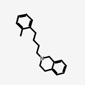 Cc1cc[c]cc1CCCCN1CCc2ccccc2C1